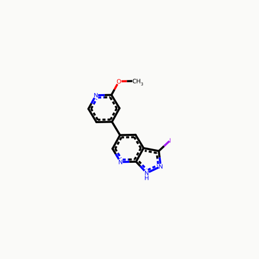 COc1cc(-c2cnc3[nH]nc(I)c3c2)ccn1